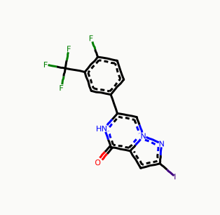 O=c1[nH]c(-c2ccc(F)c(C(F)(F)F)c2)cn2nc(I)cc12